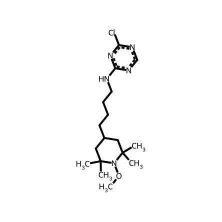 CON1C(C)(C)CC(CCCCNc2ncnc(Cl)n2)CC1(C)C